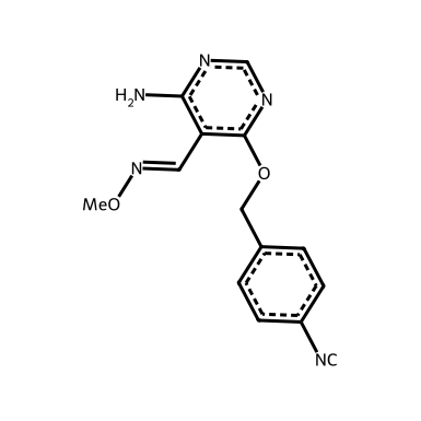 [C-]#[N+]c1ccc(COc2ncnc(N)c2/C=N/OC)cc1